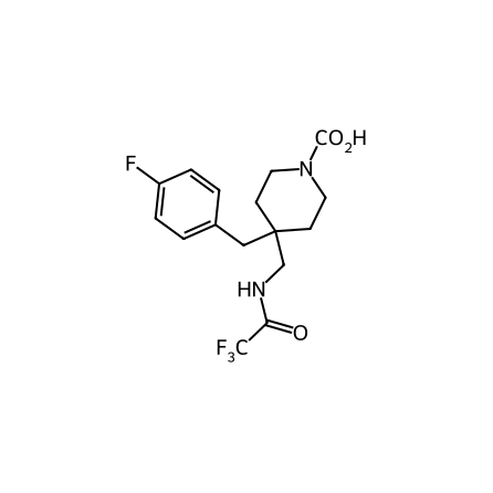 O=C(O)N1CCC(CNC(=O)C(F)(F)F)(Cc2ccc(F)cc2)CC1